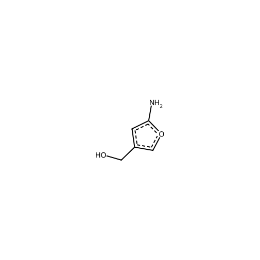 Nc1cc(CO)co1